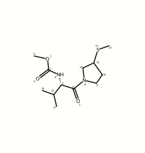 COC(=O)N[C@H](C(=O)N1CCC(SC)C1)C(C)C